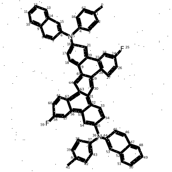 Cc1ccc(N(c2ccc3ccccc3c2)c2ccc3c(c2)c2cc(F)ccc2c2cc4c5ccc(N(c6ccc(C)cc6)c6ccc7ccccc7c6)cc5c5cc(F)ccc5c4cc32)cc1